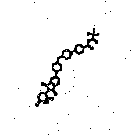 O=C1CCC(N2C(=O)c3ccc(N4CCN(CC5CCN(c6ccc(C(=O)OC(=O)C(F)(F)F)cc6)CC5)CC4)cc3C2=O)C(=O)N1